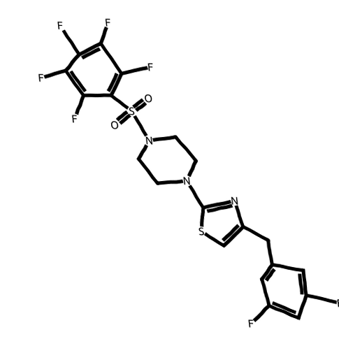 O=S(=O)(c1c(F)c(F)c(F)c(F)c1F)N1CCN(c2nc(Cc3cc(F)cc(F)c3)cs2)CC1